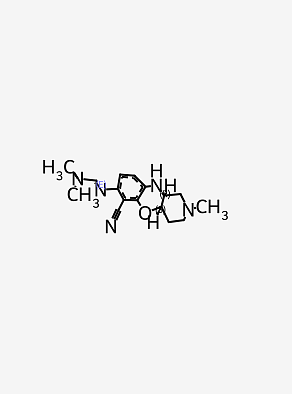 CN(C)/C=N/c1ccc2c(c1C#N)O[C@H]1CCN(C)C[C@H]1N2